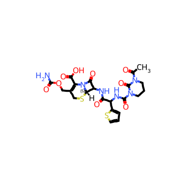 CC(=O)N1CCCN(C(=O)NC(C(=O)NC2C(=O)N3C(C(=O)O)=C(COC(N)=O)CS[C@@H]23)c2cccs2)C1=O